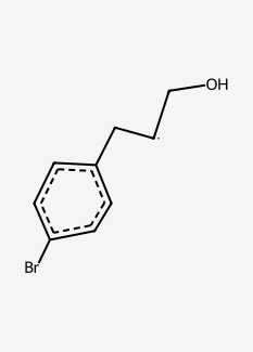 OC[CH]Cc1ccc(Br)cc1